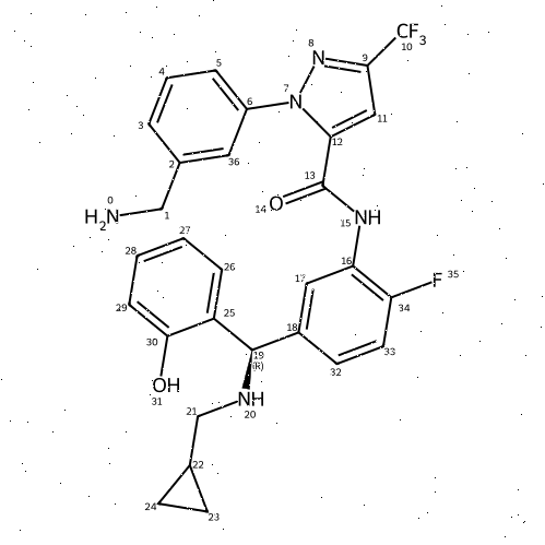 NCc1cccc(-n2nc(C(F)(F)F)cc2C(=O)Nc2cc([C@@H](NCC3CC3)c3ccccc3O)ccc2F)c1